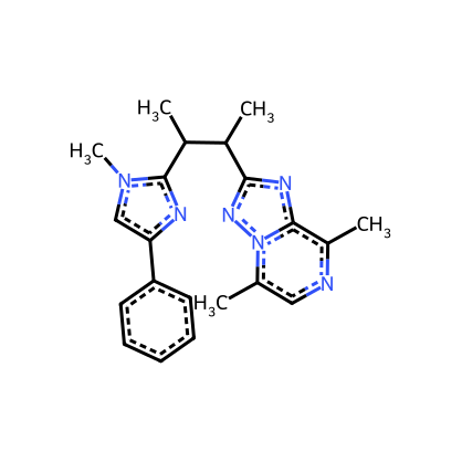 Cc1ncc(C)n2nc(C(C)C(C)c3nc(-c4ccccc4)cn3C)nc12